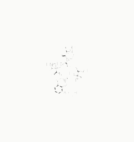 CCN1CCN(C(=O)NCC2(C(=O)N[C@H]3Cc4cccc(C(=O)O)c4OB3O)CNC2)C(=O)C1=O.O=C(O)C(F)(F)F